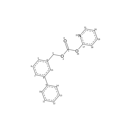 O=C(OCc1cccc(-c2ccccc2)c1)Oc1ccccn1